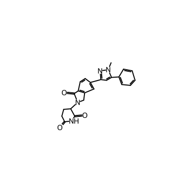 Cn1nc(-c2ccc3c(c2)CN(C2CCC(=O)NC2=O)C3=O)cc1-c1ccccc1